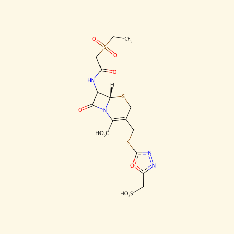 O=C(CS(=O)(=O)CC(F)(F)F)NC1C(=O)N2C(C(=O)O)=C(CSc3nnc(CS(=O)(=O)O)o3)CS[C@@H]12